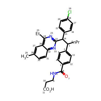 CCCC(c1ccc(C(=O)NCCC(=O)O)cc1)C(c1ccc(Cl)cc1)c1nc(CC)c2cc(C)ccc2n1